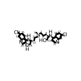 CN(CCC[C@H](CO)Nc1ccnc2cc(Cl)ccc12)CCC[C@H](CO)Nc1ccnc2cc(Cl)ccc12